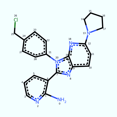 Nc1ncccc1-c1nc2ccc(N3CCCC3)nc2n1-c1ccc(CCl)cc1